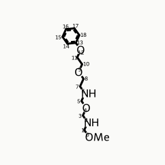 COCNCOCNCCOCCOc1ccccc1